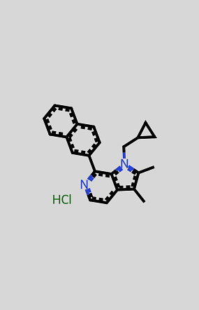 Cc1c(C)n(CC2CC2)c2c(-c3ccc4ccccc4c3)nccc12.Cl